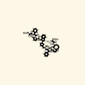 CN[C@@H](C)C(=O)N[C@H]1CCCC[C@H]2CC[C@@H](C(=O)NC(/C(N)=C/N(N)CC3CCC([C@@H]4Cc5ccccc5[C@@H]4NC(=O)[C@@H]4CCCN4C(=O)[C@@H](NC(=O)[C@H](C)NC)C4CCCCC4)C3)c3ccccc3)N2C1=O